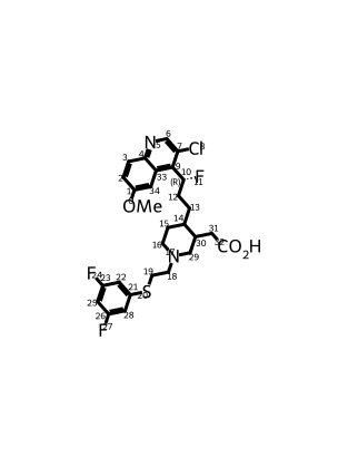 COc1ccc2ncc(Cl)c([C@H](F)CCC3CCN(CCSc4cc(F)cc(F)c4)CC3CC(=O)O)c2c1